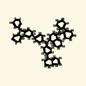 c1ccc(-n2c3ccccc3c3cc(-c4ccc(N(c5ccc(-c6cccc7ccccc67)cc5)c5ccc(-n6c7ccccc7c7ccccc76)c6ccccc56)cc4)ccc32)cc1